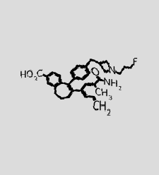 C=C/C=C(\C=C(/C)C(N)=O)C1=C(c2ccc(CC3CN(CCCF)C3)cc2)c2ccc(C(=O)O)cc2CCC1